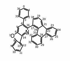 c1ccc(-c2cc3oc4ccccc4c3nc2-c2cccc3c4ccccc4c4ccccc4c23)cc1